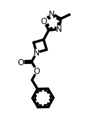 Cc1noc(C2CN(C(=O)OCc3ccccc3)C2)n1